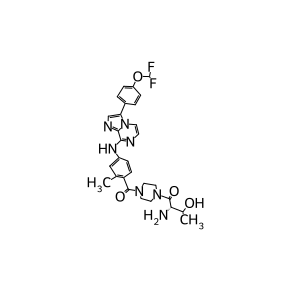 Cc1cc(Nc2nccn3c(-c4ccc(OC(F)F)cc4)cnc23)ccc1C(=O)N1CCN(C(=O)[C@@H](N)[C@@H](C)O)CC1